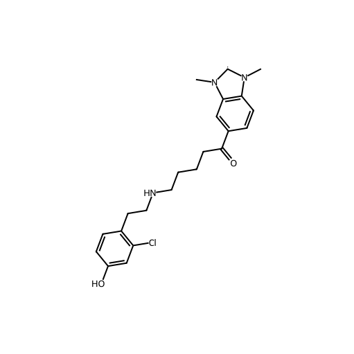 CN1[CH]N(C)c2cc(C(=O)CCCCNCCc3ccc(O)cc3Cl)ccc21